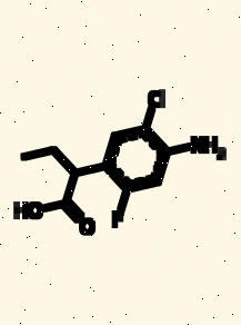 CCC(C(=O)O)c1cc(Cl)c(N)cc1F